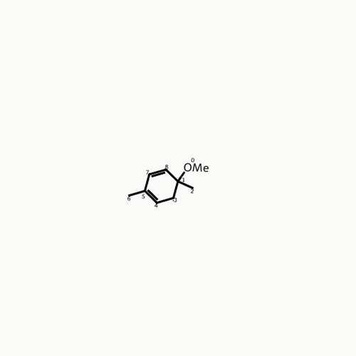 COC1(C)[CH]C=C(C)C=C1